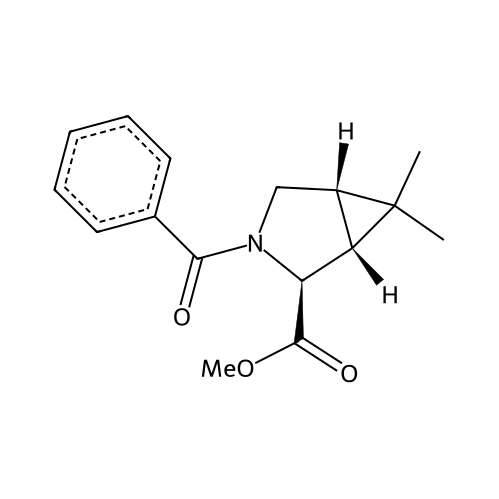 COC(=O)[C@@H]1[C@@H]2[C@H](CN1C(=O)c1ccccc1)C2(C)C